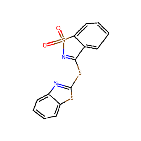 O=S1(=O)N=C(Sc2nc3ccccc3s2)c2ccccc21